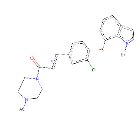 CCn1ccc2cccc(Sc3ccc(/C=C/C(=O)N4CCN(C(C)=O)CC4)cc3Cl)c21